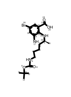 C[C@@H](CCCCNC(=O)OC(C)(C)C)Nc1c(N)cc(Br)cc1C(=O)O